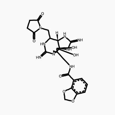 N=C1N[C@H]2C(CN3C(=O)CCC3=O)NC(=N)N3CC(NC(=O)c4cccc5c4OCO5)C(O)(O)[C@]23N1